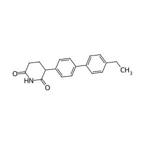 CCc1ccc(-c2ccc(C3CCC(=O)NC3=O)cc2)cc1